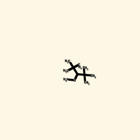 CC(C)(C)C(OP)C(C)(C)C